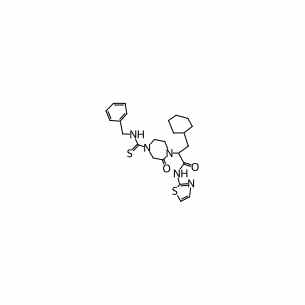 O=C(Nc1nccs1)C(CC1CCCCC1)N1CCN(C(=S)NCc2ccccc2)CC1=O